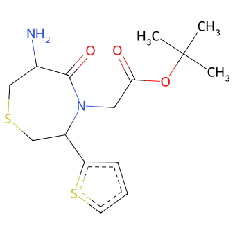 CC(C)(C)OC(=O)CN1C(=O)C(N)CSCC1c1cccs1